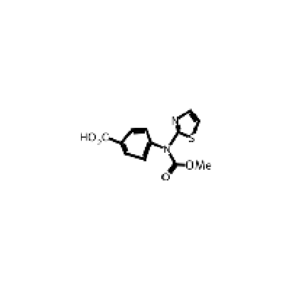 COC(=O)N(c1ccc(C(=O)O)cc1)c1nccs1